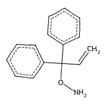 C=CC(ON)(c1ccccc1)c1ccccc1